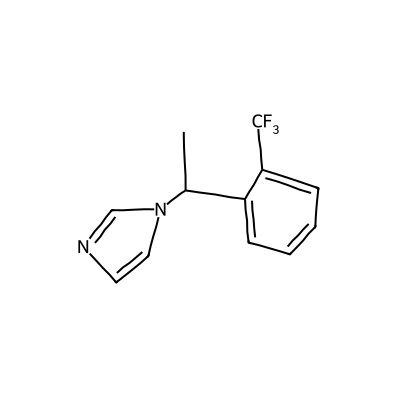 CC(c1ccccc1C(F)(F)F)n1ccnc1